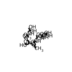 CCN(CCN(CCN(CC)CC(=O)NCC(O)CO)CC(=O)O)CC(=O)NCC(O)CO.O=C(O)O.O=C(O)O